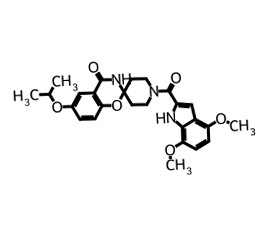 COc1ccc(OC)c2[nH]c(C(=O)N3CCC4(CC3)NC(=O)c3cc(OC(C)C)ccc3O4)cc12